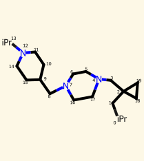 CC(C)CC1(CN2CCN(CC3CCN(C(C)C)CC3)CC2)CC1